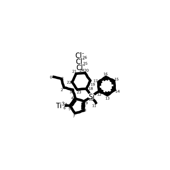 CCCCC1=[C]([Ti+3])CC=C1[Si](C)(c1ccccc1)C1CCCCC1.[Cl-].[Cl-].[Cl-]